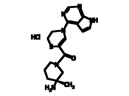 C[C@@]1(N)CCCN(C(=O)C2=CN(c3ncnc4[nH]ccc34)CCS2)C1.Cl